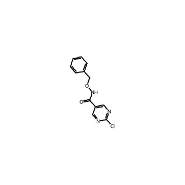 O=C(NOCc1ccccc1)c1cnc(Cl)nc1